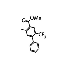 COC(=O)c1cc(C(F)(F)F)c(-c2ccccc2)cc1C